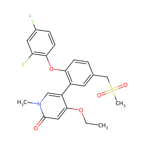 CCOc1cc(=O)n(C)cc1-c1cc(CS(C)(=O)=O)ccc1Oc1ccc(F)cc1F